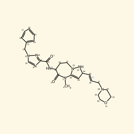 CN1C(=O)C(NC(=O)c2ncn(Cc3ccccc3)n2)CCN2NC(/C=C/CN3CCOCC3)C=C21